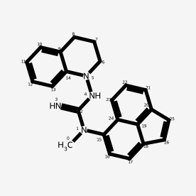 CN(C(=N)NN1CCCc2ccccc21)c1ccc2c3c(cccc13)C=C2